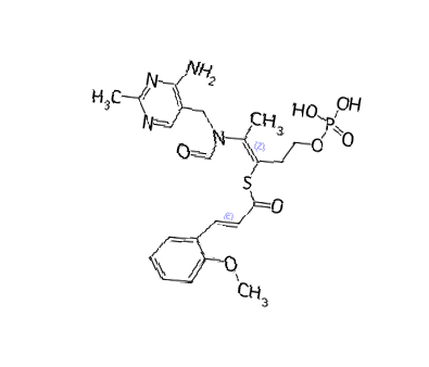 COc1ccccc1/C=C/C(=O)S/C(CCOP(=O)(O)O)=C(/C)N(C=O)Cc1cnc(C)nc1N